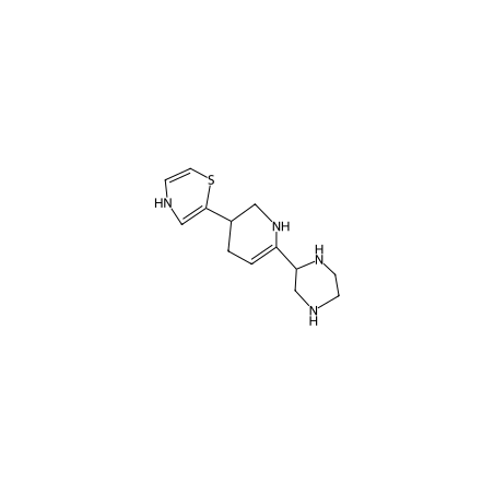 C1=CSC(C2CC=C(C3CNCCN3)NC2)=CN1